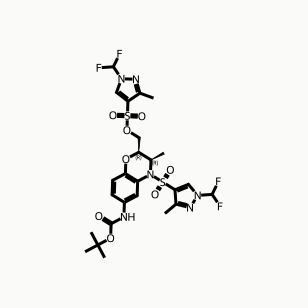 Cc1nn(C(F)F)cc1S(=O)(=O)OC[C@@H]1Oc2ccc(NC(=O)OC(C)(C)C)cc2N(S(=O)(=O)c2cn(C(F)F)nc2C)[C@@H]1C